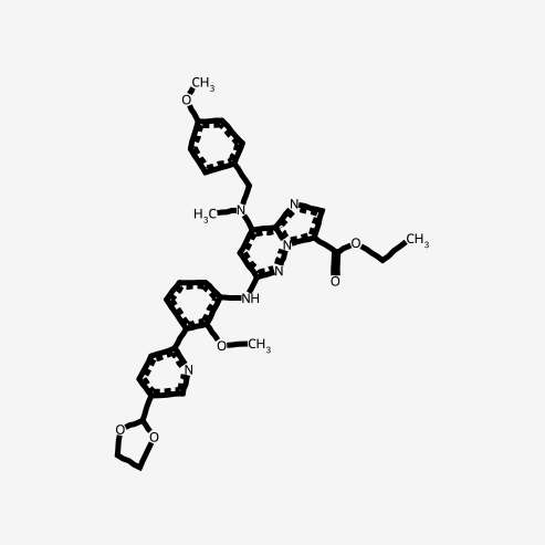 CCOC(=O)c1cnc2c(N(C)Cc3ccc(OC)cc3)cc(Nc3cccc(-c4ccc(C5OCCO5)cn4)c3OC)nn12